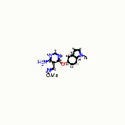 CON=Cc1c(N)ncnc1Oc1ccc2c(ccn2C)c1